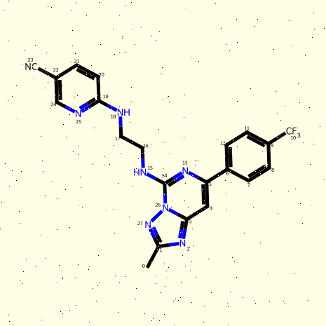 Cc1nc2cc(-c3ccc(C(F)(F)F)cc3)nc(NCCNc3ccc(C#N)cn3)n2n1